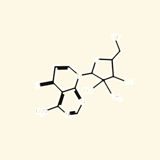 CC1(O)C(O)C(CO)OC1n1ccc(=O)c2c(N)ncnc21